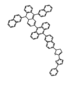 C1=CC2C(=C(c3ccc4ccccc4c3)c3ccccc3C2c2ccc3ccccc3c2)C=C1c1c2ccccc2c(-c2ccc3cc(C4CC=C(c5ccc(-c6ccccc6)s5)S4)ccc3c2)c2ccccc12